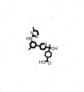 Cc1cc(Nc2nccc(C)n2)cc(-c2ccc(C(C)(O)C3CCC(C(=O)O)CC3)nc2)c1